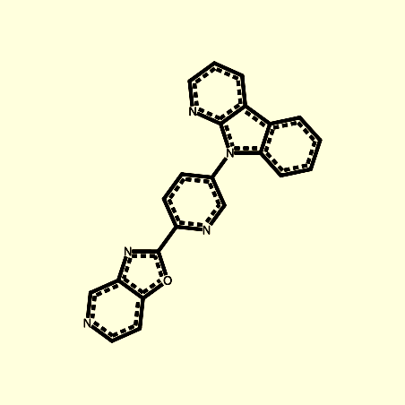 c1ccc2c(c1)c1cccnc1n2-c1ccc(-c2nc3cnccc3o2)nc1